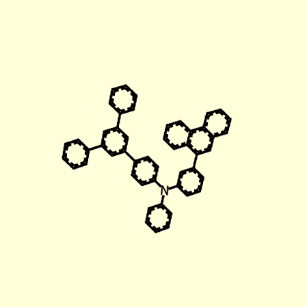 c1ccc(-c2cc(-c3ccccc3)cc(-c3ccc(N(c4ccccc4)c4cccc(-c5cc6ccccc6c6ccccc56)c4)cc3)c2)cc1